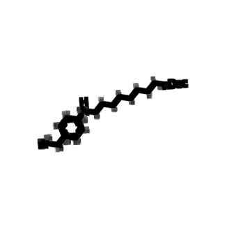 CCCCCCCCCCCCCCCCCCNc1ccc(CBr)cc1